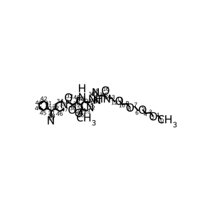 CCOCCOCCOCCOCCNC(=O)c1ncn(-c2ncc(OC)c3c(C(=O)C(=O)N4CCC(C(C#N)c5ccccc5)CC4)c[nH]c23)n1